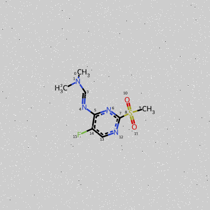 CN(C)C=Nc1nc(S(C)(=O)=O)ncc1F